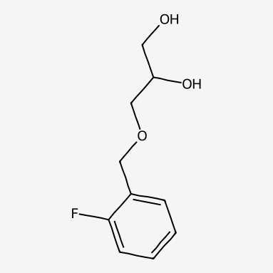 OCC(O)COCc1ccccc1F